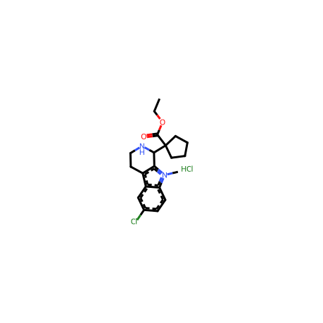 CCOC(=O)C1(C2NCCc3c2n(C)c2ccc(Cl)cc32)CCCC1.Cl